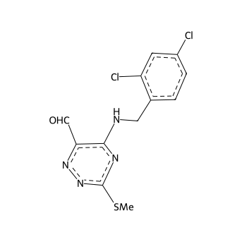 CSc1nnc(C=O)c(NCc2ccc(Cl)cc2Cl)n1